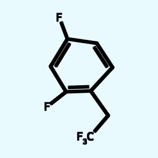 Fc1ccc(CC(F)(F)F)c(F)c1